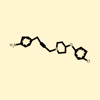 Nc1ccc(CC#CCN2CCC(Oc3ccc(Cl)cc3)CC2)cc1